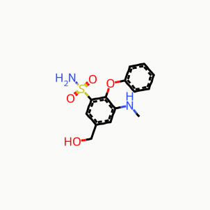 CNc1cc(CO)cc(S(N)(=O)=O)c1Oc1ccccc1